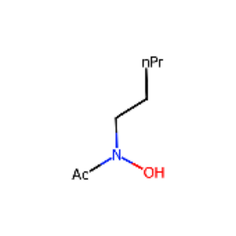 CCCCCN(O)C(C)=O